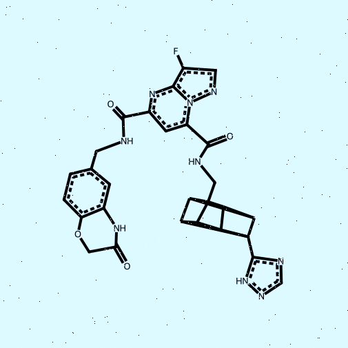 O=C1COc2ccc(CNC(=O)c3cc(C(=O)NCC45C6C7C4C4C5C6C74c4ncn[nH]4)n4ncc(F)c4n3)cc2N1